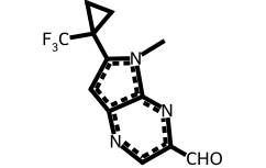 Cn1c(C2(C(F)(F)F)CC2)cc2ncc(C=O)nc21